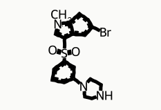 Cn1cc(S(=O)(=O)c2cccc(N3CCNCC3)c2)c2cc(Br)ccc21